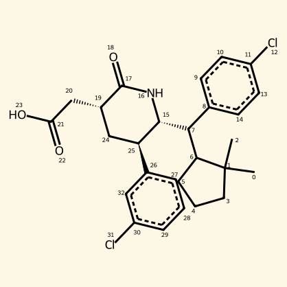 CC1(C)CCCC1C(c1ccc(Cl)cc1)[C@H]1NC(=O)[C@@H](CC(=O)O)C[C@@H]1c1cccc(Cl)c1